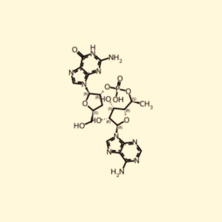 C[C@H](OP(=O)(O)O[C@@H]1C[C@@H](CO)O[C@H]1n1cnc2c(=O)[nH]c(N)nc21)[C@@H]1O[C@@H](n2cnc3c(N)ncnc32)[C@H](O)[C@@H]1O